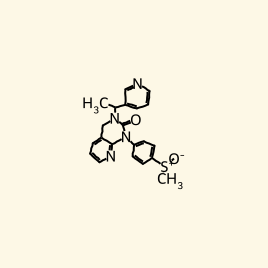 CC(c1cccnc1)N1Cc2cccnc2N(c2ccc([S+](C)[O-])cc2)C1=O